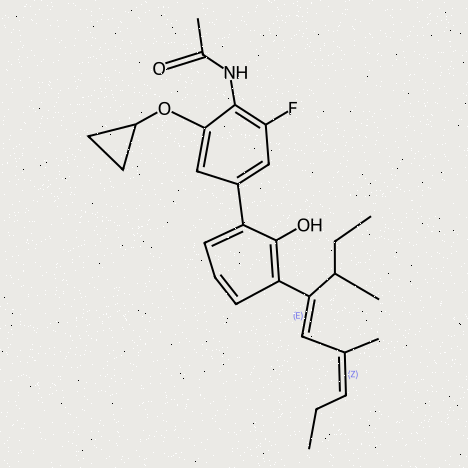 CC/C=C(C)\C=C(\c1cccc(-c2cc(F)c(NC(C)=O)c(OC3CC3)c2)c1O)C(C)CC